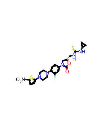 O=C1O[C@@H](CNC(=S)NC2CC2)CN1c1ccc(N2CCN(c3ccc([N+](=O)[O-])s3)CC2)c(F)c1